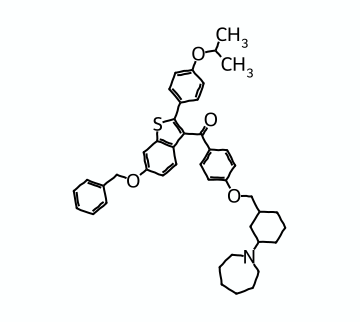 CC(C)Oc1ccc(-c2sc3cc(OCc4ccccc4)ccc3c2C(=O)c2ccc(OCC3CCCC(N4CCCCCC4)C3)cc2)cc1